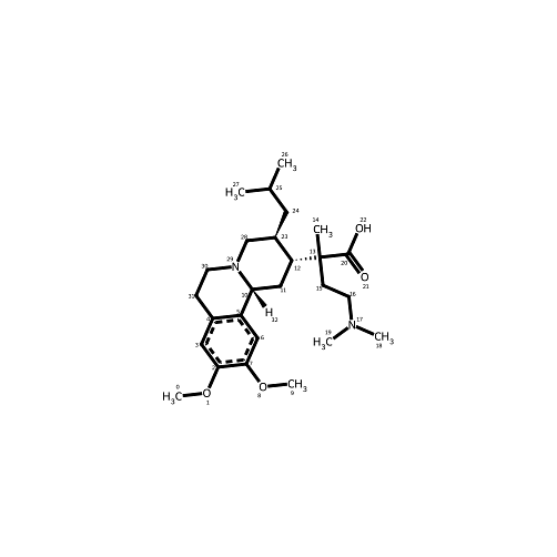 COc1cc2c(cc1OC)[C@H]1C[C@@H](C(C)(CCN(C)C)C(=O)O)[C@H](CC(C)C)CN1CC2